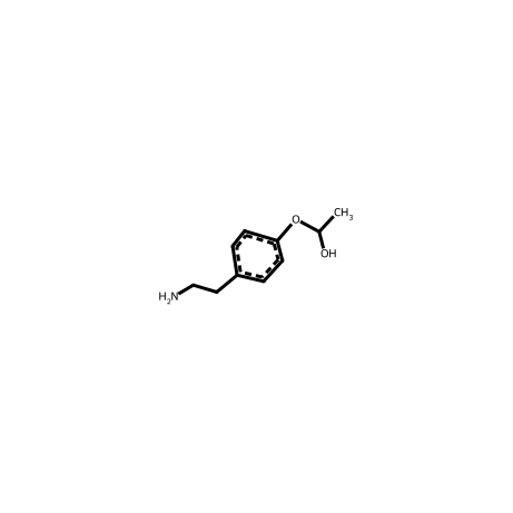 CC(O)Oc1ccc(CCN)cc1